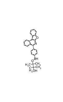 CC(C)(O)C(C)(C)OBc1ccc(-c2nc3oc4ccccc4c3c3ccccc23)cc1